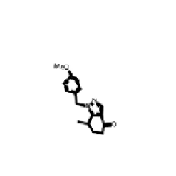 COc1ccc(Cn2ncc3c2C(C)CCC3=O)cc1